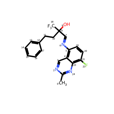 Cc1ncc2c(N=CC(O)(CCc3ccccc3)C(F)(F)F)ccc(F)c2n1